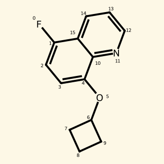 Fc1ccc(OC2CCC2)c2ncccc12